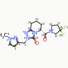 Cn1ccc(Cn2nc3n(c2=O)[C@@H](C(=O)N2CCC(F)(F)C2)CCC3)n1